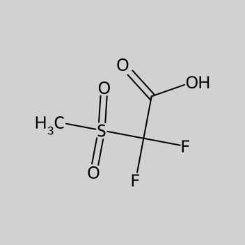 CS(=O)(=O)C(F)(F)C(=O)O